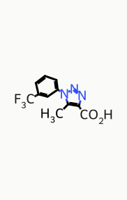 Cc1c(C(=O)O)nnn1-c1cccc(C(F)(F)F)c1